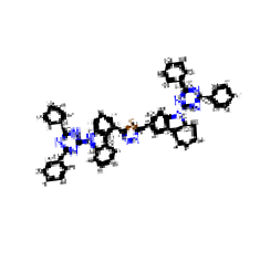 C1=CC2c3cc(-c4nnc(-c5cccc6c5c5ccccc5n6-c5nc(-c6ccccc6)nc(-c6ccccc6)n5)s4)ccc3N(c3nc(-c4ccccc4)nc(-c4ccccc4)n3)C2C=C1